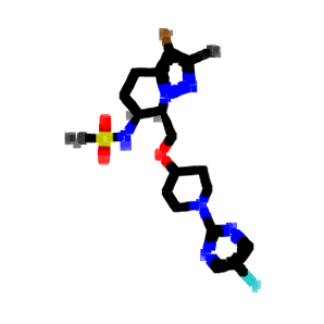 CCc1nn2c(c1Br)CC[C@H](NS(C)(=O)=O)[C@@H]2COC1CCN(c2ncc(F)cn2)CC1